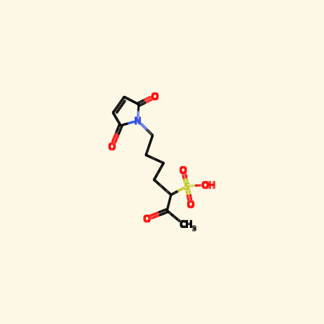 CC(=O)C(CCCCN1C(=O)C=CC1=O)S(=O)(=O)O